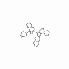 c1ccc2cc3c(cc2c1)c1c2ccccc2ccc1n3-c1nc(-c2ccncc2)c2ccccc2n1